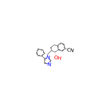 N#Cc1ccc2c(c1)[C@H](O)[C@@H]([C@H]1c3ccccc3-c3cncn31)CC2